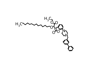 CCCCCCCCCCCCCCOC(C(=O)OCC)n1c(=O)oc2c(N3CCN(Cc4cccc(-c5ccccc5)c4)CC3)cccc21